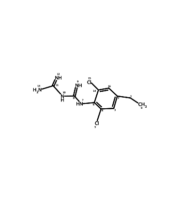 CCc1cc(Cl)c(NC(=N)NC(=N)N)c(Cl)c1